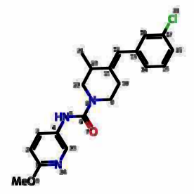 COc1ccc(NC(=O)N2CCC(=Cc3cccc(Cl)c3)C(C)C2)cn1